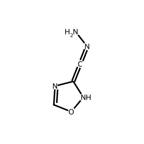 NN=C=C1N=CON1